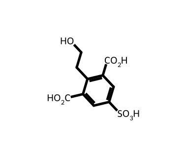 O=C(O)c1cc(S(=O)(=O)O)cc(C(=O)O)c1CCO